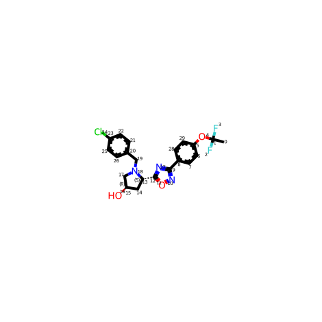 CC(F)(F)Oc1ccc(-c2noc([C@@H]3C[C@@H](O)CN3Cc3ccc(Cl)cc3)n2)cc1